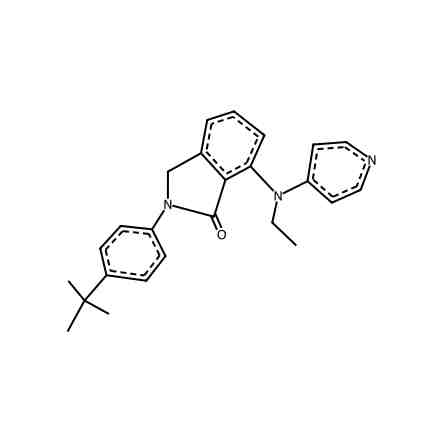 CCN(c1ccncc1)c1cccc2c1C(=O)N(c1ccc(C(C)(C)C)cc1)C2